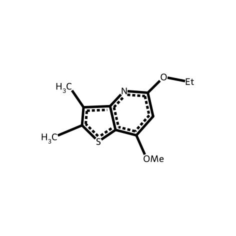 CCOc1cc(OC)c2sc(C)c(C)c2n1